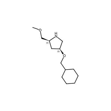 COC[C@@H]1C[C@H](OCC2CCCCC2)CN1